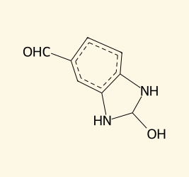 O=Cc1ccc2c(c1)NC(O)N2